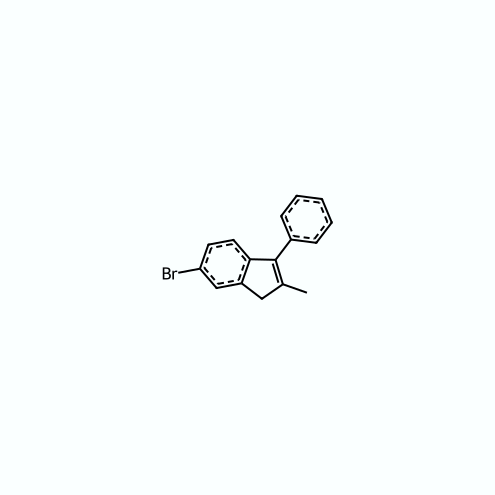 CC1=C(c2ccccc2)c2ccc(Br)cc2C1